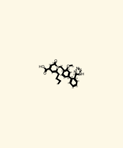 CCCCc1cc(C(=O)O)cc(=O)n1Cc1ccc(-c2ccccc2-c2nnn[nH]2)cc1OC